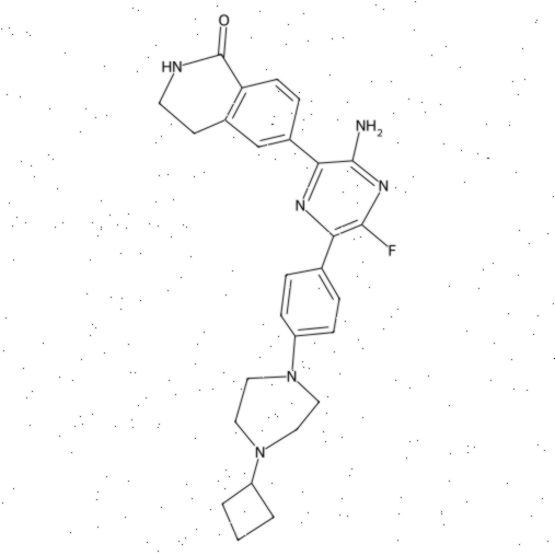 Nc1nc(F)c(-c2ccc(N3CCN(C4CCC4)CC3)cc2)nc1-c1ccc2c(c1)CCNC2=O